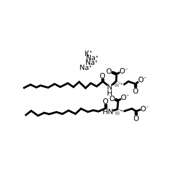 CCCCCCCCCCCCCC(=O)N[C@@H](CCC(=O)[O-])C(=O)[O-].CCCCCCCCCCCCCC(=O)N[C@@H](CCC(=O)[O-])C(=O)[O-].[K+].[Na+].[Na+].[Na+]